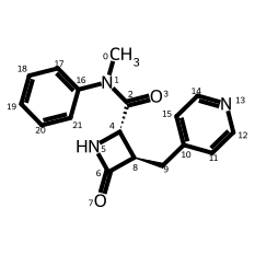 CN(C(=O)[C@H]1NC(=O)[C@@H]1Cc1ccncc1)c1ccccc1